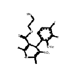 COc1c(C2C(C(=O)OCCC(C)(C)C)=C(C)NC(C)=C2[N+](=O)[O-])ccc(F)c1F